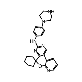 c1cnc2c(c1)-c1cnc(Nc3ccc(N4CCNCC4)cc3)nc1C1(CCCCC1)O2